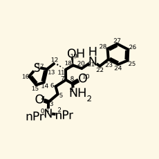 CCCN(CCC)C(=O)CCC(C(N)=O)[C@H](Cc1cccs1)[C@@H](O)CNCc1ccccc1